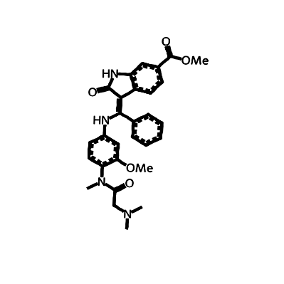 COC(=O)c1ccc2c(c1)NC(=O)/C2=C(\Nc1ccc(N(C)C(=O)CN(C)C)c(OC)c1)c1ccccc1